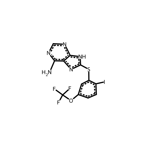 Nc1ncnc2[nH]c(Sc3cc(OC(F)(F)F)ccc3I)nc12